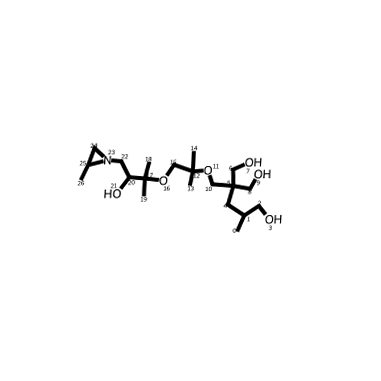 CC(CO)CC(CO)(CO)COC(C)(C)COC(C)(C)C(O)CN1CC1C